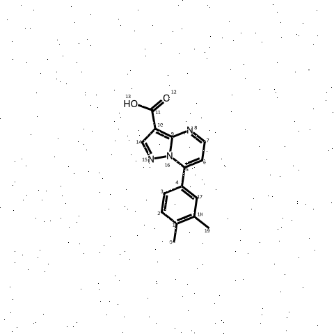 Cc1ccc(-c2ccnc3c(C(=O)O)cnn23)cc1C